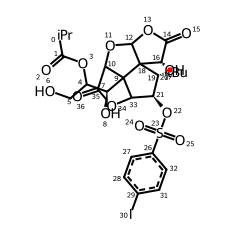 CC(C)C(=O)OC(CO)[C@H](O)C12C3OC4OC(=O)[C@H](O)C41[C@H](C(C)(C)C)[C@@H](OS(=O)(=O)c1ccc(I)cc1)C2OC3=O